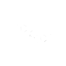 CC(C)(C)c1ccc(C(=O)NN2CCc3ccc(O)cc3C2)cc1